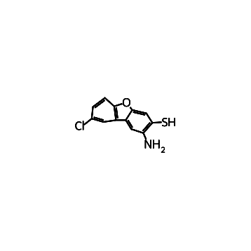 Nc1cc2c(cc1S)oc1ccc(Cl)cc12